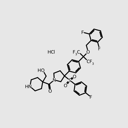 Cl.O=C(N1CCC(c2ccc(C(OCc3c(F)cccc3F)(C(F)(F)F)C(F)(F)F)cc2)(S(=O)(=O)c2ccc(F)cc2)C1)C1(CO)CCNCC1